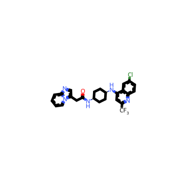 O=C(Cc1cnc2ccccn12)N[C@H]1CC[C@@H](Nc2cc(C(F)(F)F)nc3ccc(Cl)cc23)CC1